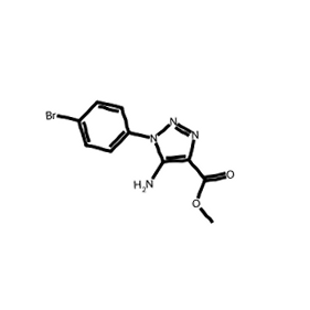 COC(=O)c1nnn(-c2ccc(Br)cc2)c1N